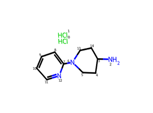 Cl.Cl.NC1CCN(c2ccccn2)CC1